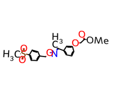 COC(=O)COc1cccc(C(C)=NOCc2ccc(S(C)(=O)=O)cc2)c1